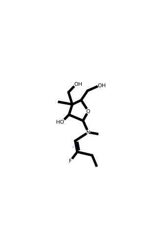 CC/C(F)=C\N(C)C1OC(CO)C(C)(CO)C1O